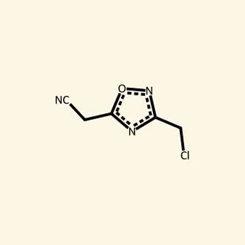 N#CCc1nc(CCl)no1